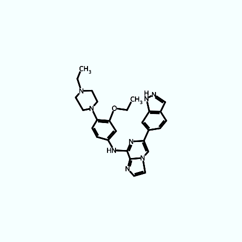 CCOc1cc(Nc2nc(-c3ccc4cn[nH]c4c3)cn3ccnc23)ccc1N1CCN(CC)CC1